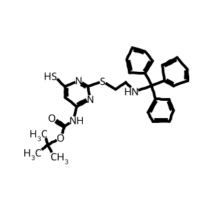 CC(C)(C)OC(=O)Nc1cc(S)nc(SCCNC(c2ccccc2)(c2ccccc2)c2ccccc2)n1